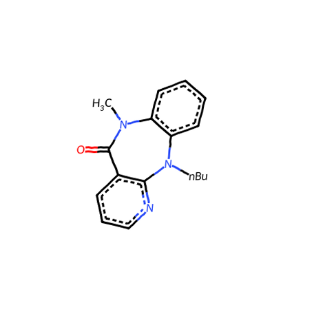 CCCCN1c2ccccc2N(C)C(=O)c2cccnc21